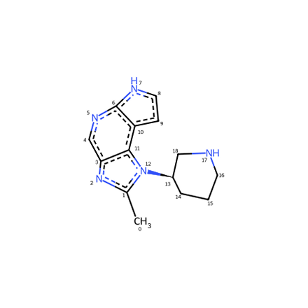 Cc1nc2cnc3[nH]ccc3c2n1[C@@H]1CCCNC1